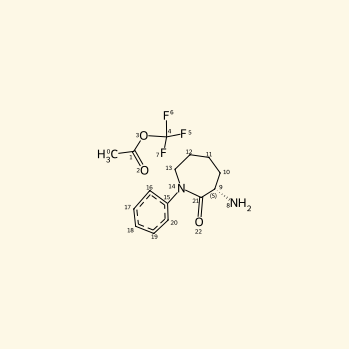 CC(=O)OC(F)(F)F.N[C@H]1CCCCN(c2ccccc2)C1=O